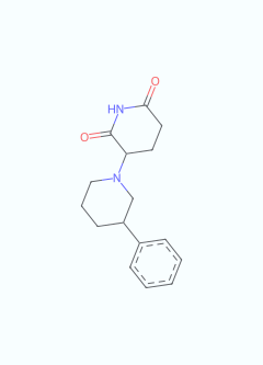 O=C1CCC(N2CCCC(c3ccccc3)C2)C(=O)N1